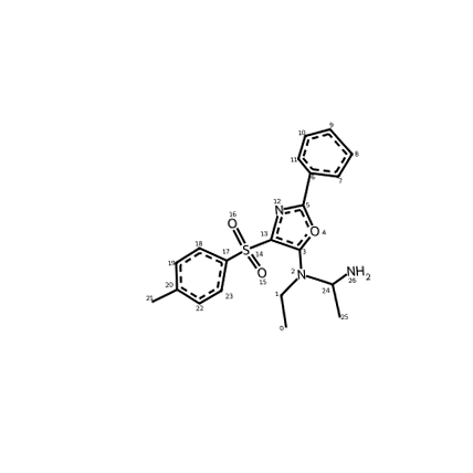 CCN(c1oc(-c2ccccc2)nc1S(=O)(=O)c1ccc(C)cc1)C(C)N